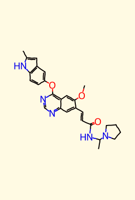 COc1cc2c(Oc3ccc4[nH]c(C)cc4c3)ncnc2cc1C=CC(=O)NC(C)N1CCCC1